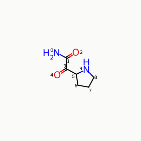 NC(=O)C(=O)C1CCCN1